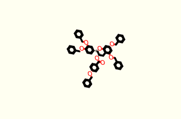 O=C(O[C@H]1Cc2c(OCc3ccccc3)cc(OCc3ccccc3)cc2O[C@H]1c1ccc(OCc2ccccc2)c(OCc2ccccc2)c1)c1ccc(OCc2ccccc2)cc1